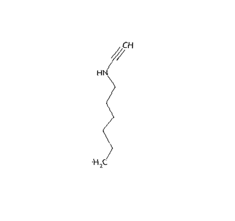 C#CNCCCCC[CH2]